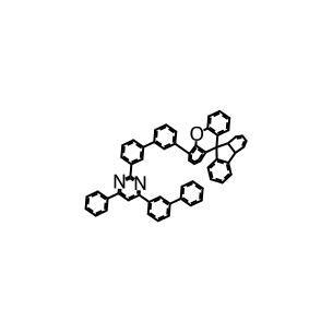 C1=CC2c3ccccc3C3(c4ccccc4Oc4c(-c5cccc(-c6cccc(-c7nc(-c8ccccc8)cc(-c8cccc(-c9ccccc9)c8)n7)c6)c5)cccc43)C2C=C1